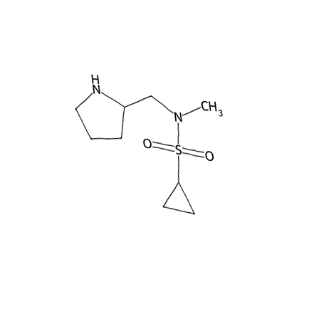 CN(CC1CCCN1)S(=O)(=O)C1CC1